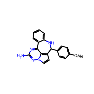 COc1ccc(C2Nc3ccccc3-c3nc(N)nn4ccc2c34)cc1